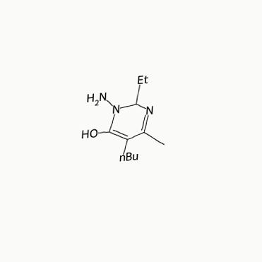 CCCCC1=C(O)N(N)C(CC)N=C1C